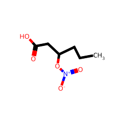 CCCC(CC(=O)O)O[N+](=O)[O-]